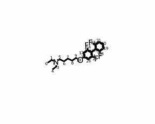 CCN(CC)CCCCCOc1cc(F)c(-c2c(F)cccc2F)c(F)c1